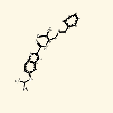 CC(C)Oc1ccc2oc(C(=O)NC(COCc3ccccc3)C(=O)O)cc2c1